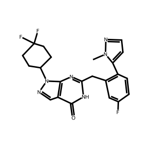 Cn1nccc1-c1ccc(F)cc1Cc1nc2c(cnn2C2CCC(F)(F)CC2)c(=O)[nH]1